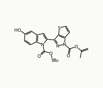 C=C(C)OC(=O)n1nc(-c2cc3cc(O)ccc3n2C(=O)OC(C)(C)C)c2sccc21